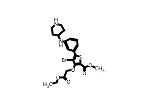 CCOC(=O)COc1c(C(=O)OC)sc(-c2cccc(NC3CCNCC3)c2)c1Br